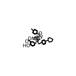 COC(=O)c1cc(N(Cc2ccc(C3CCCCC3)cc2)C(=O)CN(C)S(=O)(=O)c2ccc(C)cc2)ccc1O